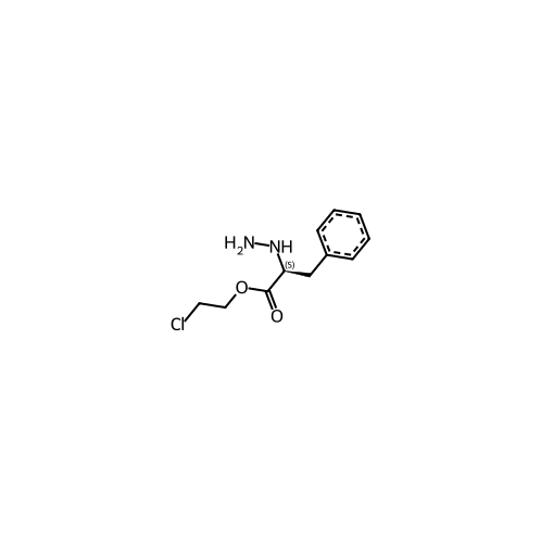 NN[C@@H](Cc1ccccc1)C(=O)OCCCl